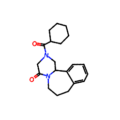 O=C(C1CCCCC1)N1CC(=O)N2CCCc3ccccc3C2C1